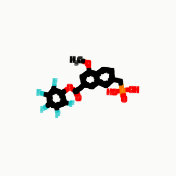 COc1cc(C(=O)Oc2c(F)c(F)c(F)c(F)c2F)cc2cc(CP(=O)(O)O)ccc12